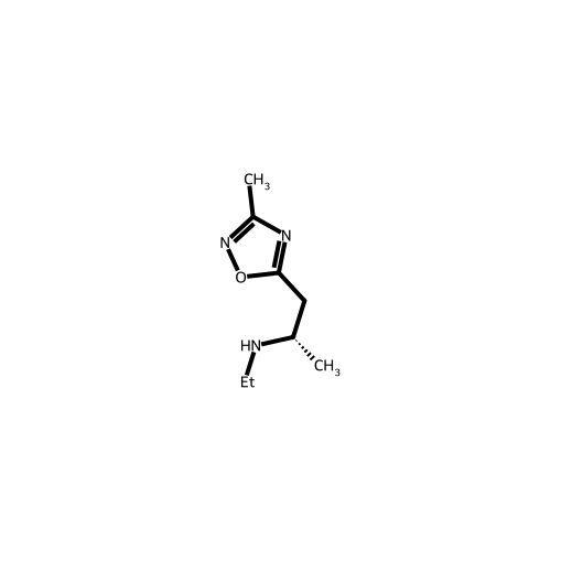 CCN[C@@H](C)Cc1nc(C)no1